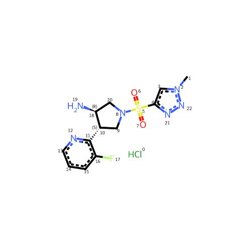 Cl.Cn1cc(S(=O)(=O)N2C[C@H](c3ncccc3F)[C@@H](N)C2)nn1